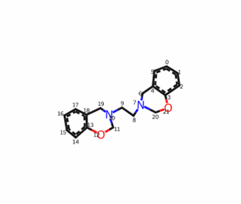 c1ccc2c(c1)CN(CCN1COc3ccccc3C1)CO2